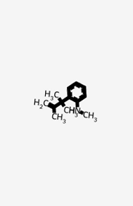 C=C(C)C(C)(C)c1ccccc1NC